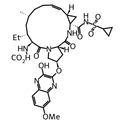 CC[C@@H]1C[C@H](C)CC/C=C\[C@@H]2C[C@@]2(C(=O)NS(=O)(=O)C2CC2)NC(=O)[C@@H]2C[C@@H](Oc3nc4cc(OC)ccc4nc3O)CN2C(=O)[C@H]1NC(=O)O